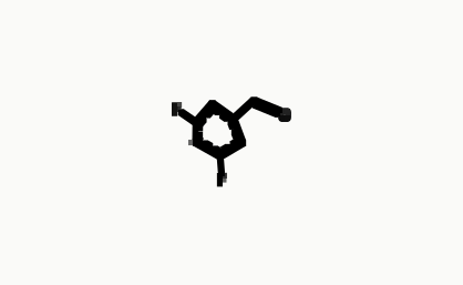 O=Cc1cc(F)[c]c(F)c1